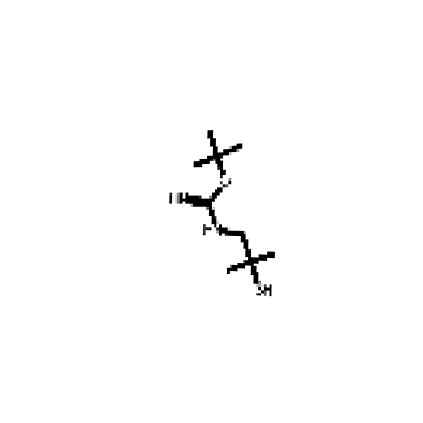 CC(C)(S)CNC(=N)OC(C)(C)C